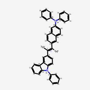 [2H]/C(=C(/[2H])c1ccc2c(c1)c1ccccc1n2-c1ccccc1)c1ccc2cc(N(c3ccccc3)c3ccccc3)ccc2c1